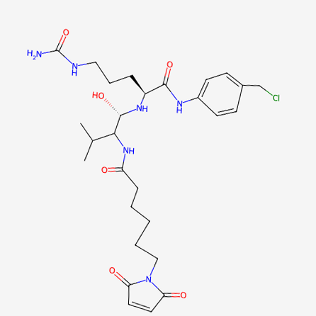 CC(C)C(NC(=O)CCCCCN1C(=O)C=CC1=O)[C@H](O)N[C@@H](CCCNC(N)=O)C(=O)Nc1ccc(CCl)cc1